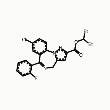 CCC(CC)OC(=O)c1cc2n(n1)-c1ccc(Cl)cc1C(c1ccccc1F)=NC2